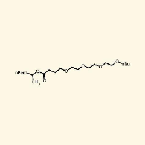 CCCCCC(C)OC(=O)CCCOCCOCCOCCOCCCC